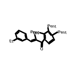 CCCC(C)c1ccc(C(=O)C(O)=Cc2cccc(CC)c2)c(C(C)CCC)c1C(C)CCC